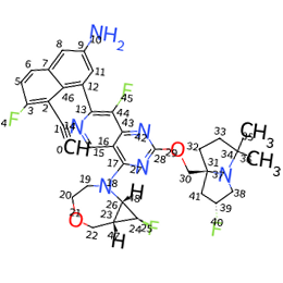 C#Cc1c(F)ccc2cc(N)cc(-c3ncc4c(N5CCOC[C@H]6[C@H](F)[C@H]65)nc(OC[C@@]56CCC(C)(C)N5C[C@H](F)C6)nc4c3F)c12